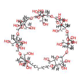 OC[C@H]1OC2CCCCO[C@H]3[C@H](O)[C@@H](O)C(O[C@H]4[C@H](O)[C@@H](O)C(O[C@H]5[C@H](O)[C@@H](O)C(O[C@H]6[C@H](O)[C@@H](O)C(O[C@H]7[C@H](O)[C@@H](O)C(O[C@H]8[C@H](O)[C@@H](O)C(O[C@H]1[C@H](O)[C@H]2O)O[C@@H]8CO)O[C@@H]7CO)O[C@@H]6CO)O[C@@H]5CO)O[C@@H]4CO)O[C@@H]3CO